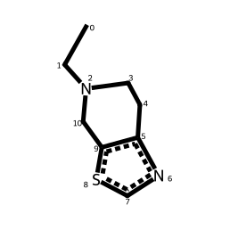 CCN1CCc2ncsc2C1